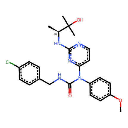 COc1ccc(N(C(=O)NCc2ccc(Cl)cc2)c2ccnc(N[C@@H](C)C(C)(C)O)n2)cc1